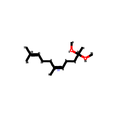 COC(C)(CC/C=C(/C)CCC=C(C)C)OC